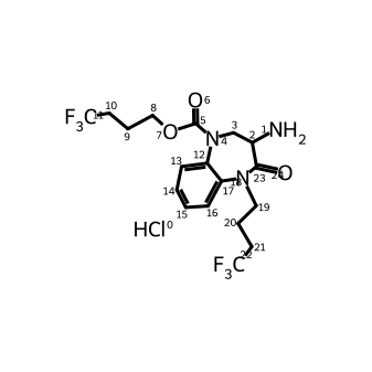 Cl.NC1CN(C(=O)OCCCC(F)(F)F)c2ccccc2N(CCCC(F)(F)F)C1=O